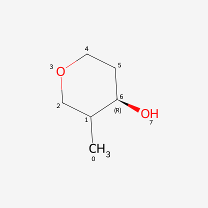 CC1COCC[C@H]1O